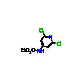 CCOC(=O)Nc1cc(Cl)nc(Cl)c1